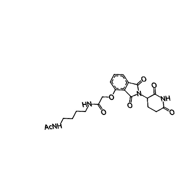 CC(=O)NCCCCNC(=O)COc1cccc2c1C(=O)N(C1CCC(=O)NC1=O)C2=O